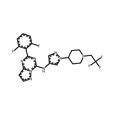 Fc1cccc(F)c1-c1nc(Nc2cnn(C3CCN(CC(F)(F)F)CC3)c2)n2nccc2n1